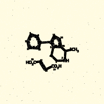 CC1NCCn2c(-c3ccccc3)ccc21.O=C(O)C=CC(=O)O